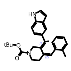 C/C(=C1/CN(C(=O)OC(C)(C)C)CC/C1=C/c1ccccc1C)c1ccc2[nH]ccc2c1